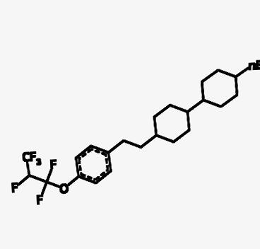 CCCCC1CCC(C2CCC(CCc3ccc(OC(F)(F)C(F)C(F)(F)F)cc3)CC2)CC1